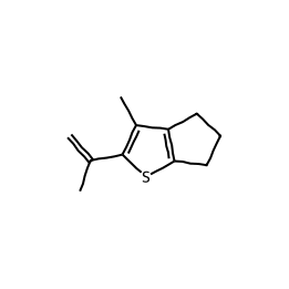 C=C(C)c1sc2c(c1C)CCC2